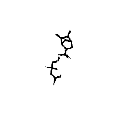 CC1C2CC(C(=O)OCCC(F)(F)CC(F)F)C(C2)C1C